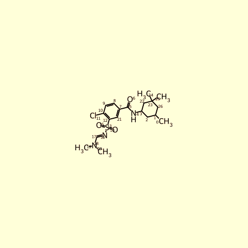 CC1CC(NC(=O)c2ccc(Cl)c(S(=O)(=O)N=CN(C)C)c2)CC(C)(C)C1